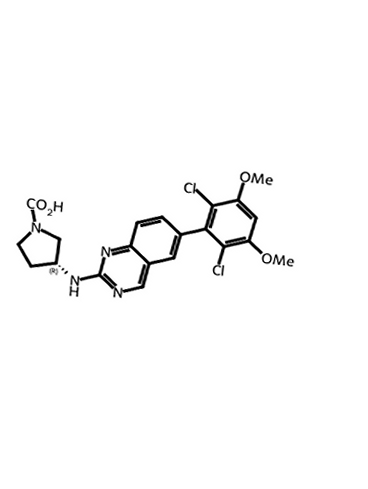 COc1cc(OC)c(Cl)c(-c2ccc3nc(N[C@@H]4CCN(C(=O)O)C4)ncc3c2)c1Cl